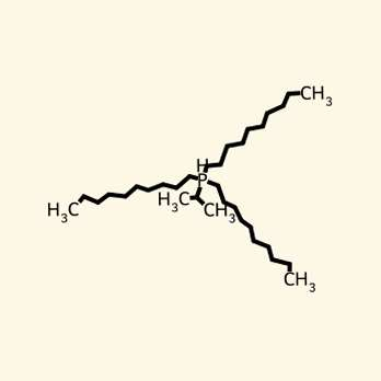 CCCCCCCCCC[PH](CCCCCCCCCC)(CCCCCCCCCC)C(C)C